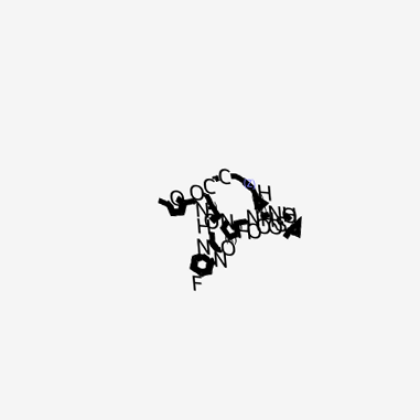 Cc1ccc(C(=O)N[C@H]2CCCCC/C=C\[C@@H]3C[C@@]3(C(=O)NS(=O)(=O)C3(C)CC3)NC(=O)[C@@H]3C[C@@H](Oc4nc5cc(F)ccc5nc4C)CN3C2=O)o1